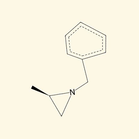 C[C@@H]1CN1Cc1ccccc1